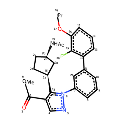 COC(=O)c1cnn(-c2cccc(-c3cccc(OC(C)C)c3F)c2)c1[C@H]1CC[C@@H](NC(C)=O)C1